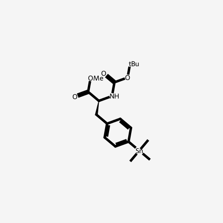 COC(=O)[C@H](Cc1cc[c]([Sn]([CH3])([CH3])[CH3])cc1)NC(=O)OC(C)(C)C